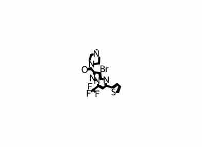 CN1CCN(C(=O)c2nn3c(C(F)(F)F)cc(-c4cccs4)nc3c2Br)CC1